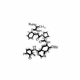 CN[C@@H](C)C(=O)N[C@H](C(=O)N1CCC[C@H]1C(=O)Nc1cc2c(Nc3ccc(F)c(Cl)c3F)ncnc2cc1OC)C1CCCCC1